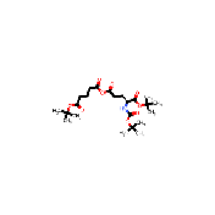 CC(C)(C)OC(=O)CCCC(=O)OC(=O)CC[C@H](NC(=O)OC(C)(C)C)C(=O)OC(C)(C)C